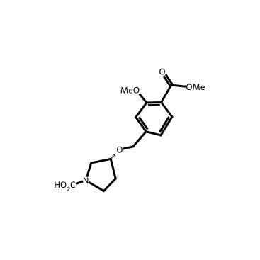 COC(=O)c1ccc(CO[C@@H]2CCN(C(=O)O)C2)cc1OC